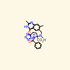 Cc1nc2cc(C)c(CN(C)C(CCc3nnn[nH]3)(NC(=O)c3ccccc3)C(=O)O)cc2c(=O)[nH]1